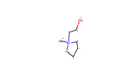 CCCC[N+]1(CCO)CCCC1